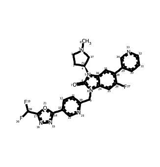 CN1CC[C@H](n2c(=O)n(Cc3ccc(-c4nnc(C(F)F)o4)cn3)c3cc(F)c(-c4cccnc4)cc32)C1